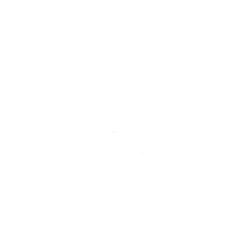 CCCCCCCCC(CCCCCC)COC(=O)CCCOCCOCCOCCOCCCC